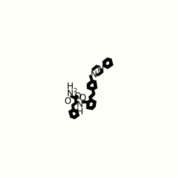 NC(=O)C(=O)C(Cc1ccccc1)NC(=O)c1ccccc1/C=C/c1ccc(CN2CCN(c3ccccc3)CC2)cc1